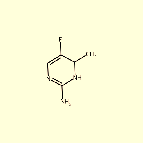 CC1NC(N)=NC=C1F